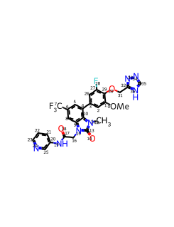 COc1cc(-c2cc(C(F)(F)F)cc3c2n(C)c(=O)n3CC(=O)Nc2cccnc2)cc(F)c1OCc1nnc[nH]1